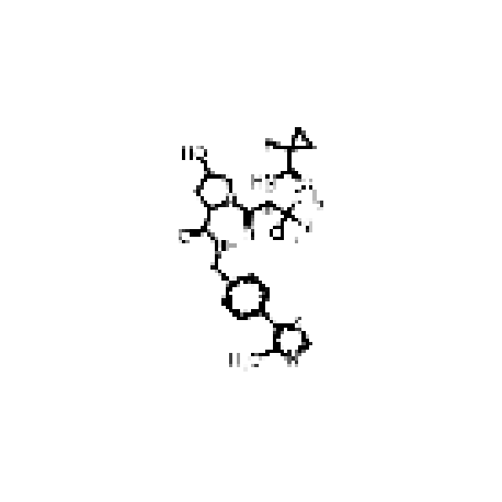 Cc1ncsc1-c1ccc(CNC(=O)C2CC(O)CN2C(=O)[C@@H](NC(=O)C2(F)CC2)C(C)(C)S)cc1